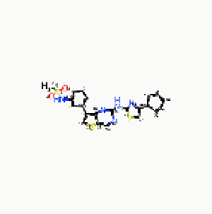 CS(=O)(=O)Nc1cccc(-c2csc3cnc(Nc4nc(-c5ccccc5)cs4)nc23)c1